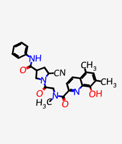 Cc1cc(C)c2ccc(C(=O)N(C)CC(=O)N3CC(C(=O)Nc4ccccc4)CC3C#N)nc2c1O